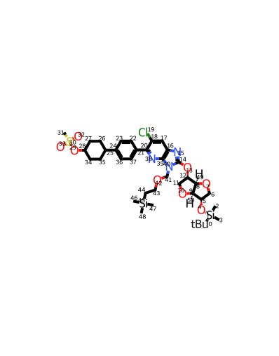 CC(C)(C)[Si](C)(C)O[C@@H]1CO[C@H]2[C@@H]1OC[C@H]2Oc1nc2cc(Cl)c(-c3ccc(C4CCC(OS(C)(=O)=O)CC4)cc3)nc2n1COCC[Si](C)(C)C